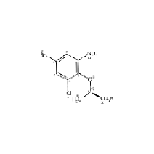 C[C@@H](Oc1c(Cl)cc(Br)cc1[N+](=O)[O-])C(=O)O